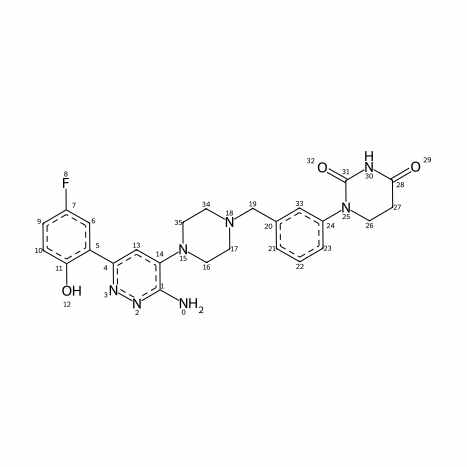 Nc1nnc(-c2cc(F)ccc2O)cc1N1CCN(Cc2cccc(N3CCC(=O)NC3=O)c2)CC1